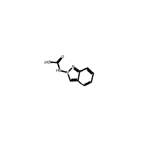 O=C(O)Nn1cc2ccccc2n1